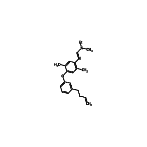 C=CCCc1cccc(Oc2cc(C)c(N=CN(C)CC)cc2C)c1